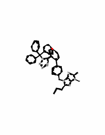 CCCc1nc2c(nc(C)n2C)n1Cc1ccc(-c2ccccc2-c2nnnn2C(c2ccccc2)(c2ccccc2)c2ccccc2)cc1